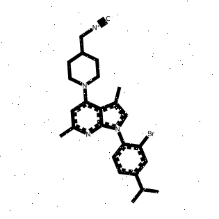 [C-]#[N+]CC1CCN(c2cc(C)nc3c2c(C)cn3-c2ccc(C(C)C)cc2Br)CC1